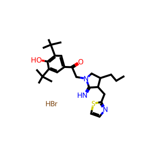 Br.CCCC1CN(CC(=O)c2cc(C(C)(C)C)c(O)c(C(C)(C)C)c2)C(=N)C1Cc1nccs1